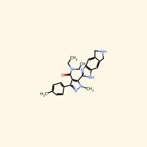 CCN(CC)C(=O)c1c(-c2ccc(C)cc2)nn(C)c1-c1nc2cc3c(cc2[nH]1)CNC3